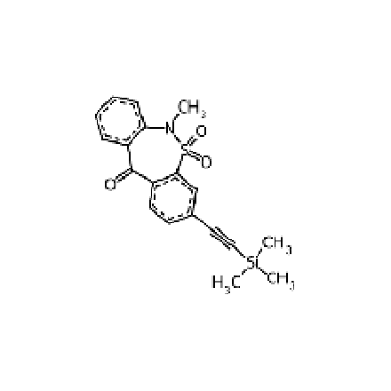 CN1c2ccccc2C(=O)c2ccc(C#C[Si](C)(C)C)cc2S1(=O)=O